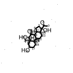 CC(=O)[C@@]1(O)CC[C@H]2[C@@H]3C(=O)[C@@H](O)[C@H]4C[C@H](O)CC[C@]4(C)[C@H]3CC[C@@]21C